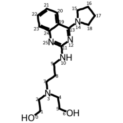 OCCN(CCO)CCCNc1nc(N2CCCC2)c2ccccc2n1